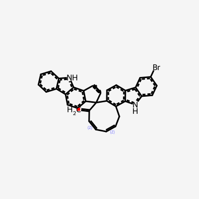 C=C1/C=C\C=C/Cc2c(ccc3c2[nH]c2ccc(Br)cc23)C12c1ccccc1-c1c2ccc2c1[nH]c1ccccc12